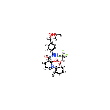 CCCC(C)(O)c1ccc(NC(=O)c2cccn(-c3c(C)cccc3OCC(F)(F)F)c2=O)cc1